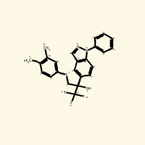 Cc1ccc(SCC(O)(c2ccc3c(cnn3-c3ccccc3)c2)C(F)(F)F)cc1C